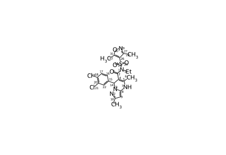 CCN(C(=O)C1=C(C)Nc2cc(C)nn2C1c1ccc(Cl)c(Cl)c1)S(=O)(=O)c1c(C)noc1C